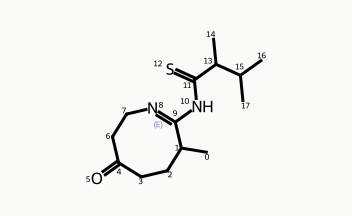 CC1CCC(=O)CC/N=C\1NC(=S)C(C)C(C)C